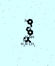 C=Cc1c(N)ncnc1Nc1ccc2c(c1)CCN2Cc1cccc(F)c1